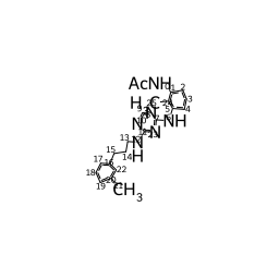 CC(=O)Nc1cccc(Nc2ncnc(NCCCc3cccc(C)c3)n2)c1C